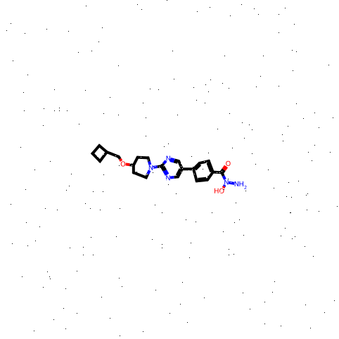 NN(O)C(=O)c1ccc(-c2cnc(N3CCC(OCC4CCC4)CC3)nc2)cc1